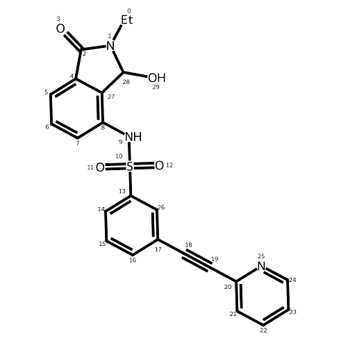 CCN1C(=O)c2cccc(NS(=O)(=O)c3cccc(C#Cc4ccccn4)c3)c2C1O